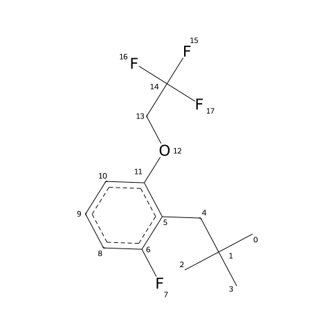 CC(C)(C)Cc1c(F)cccc1OCC(F)(F)F